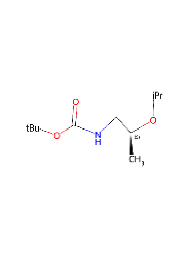 CC(C)O[C@@H](C)CNC(=O)OC(C)(C)C